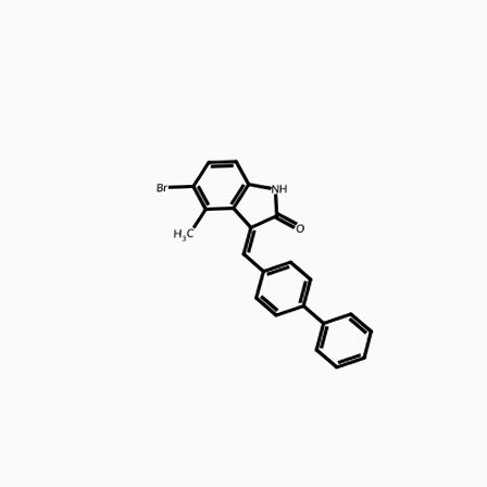 Cc1c(Br)ccc2c1C(=Cc1ccc(-c3ccccc3)cc1)C(=O)N2